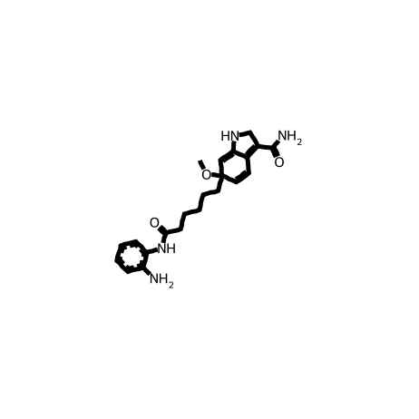 COC1(CCCCCC(=O)Nc2ccccc2N)C=CC2=C(C(N)=O)CNC2=C1